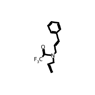 C=CCN(CC=Cc1ccccc1)C(=O)C(F)(F)F